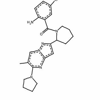 Cc1cn2nc(C3CCCCN3C(=O)c3cc(Cl)ccc3N)cc2nc1N1CCCC1